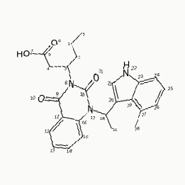 CCCC(CC(=O)O)n1c(=O)c2ccccc2n(C(C)c2c[nH]c3cccc(C)c23)c1=O